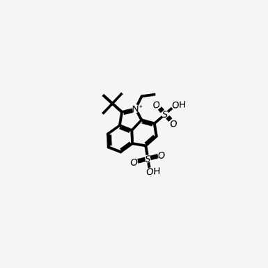 CC[N+]1=C(C(C)(C)C)c2cccc3c(S(=O)(=O)O)cc(S(=O)(=O)O)c1c23